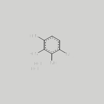 Cl.Cl.Nc1ccc(N)c(N)c1N